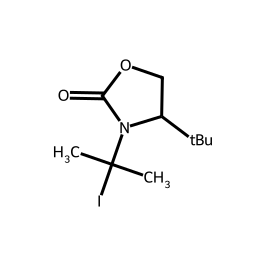 CC(C)(C)C1COC(=O)N1C(C)(C)I